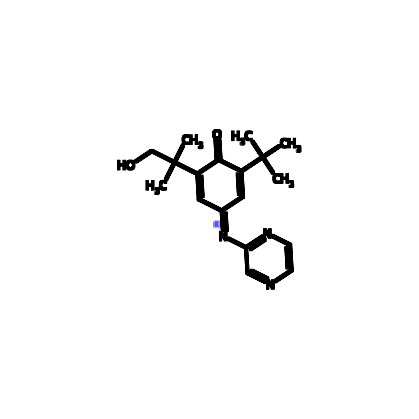 CC(C)(C)C1=C/C(=N\c2cnccn2)C=C(C(C)(C)CO)C1=O